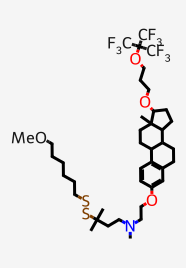 COCCCCCCSSC(C)(C)CCN(C)CCOc1ccc2c(c1)CCC1C2CCC2(C)C(OCCCOC(C(F)(F)F)(C(F)(F)F)C(F)(F)F)CCC12